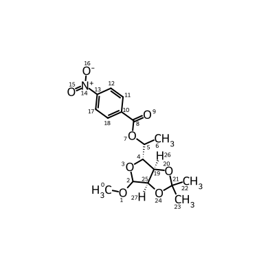 COC1O[C@H](C(C)OC(=O)c2ccc([N+](=O)[O-])cc2)[C@H]2OC(C)(C)O[C@@H]12